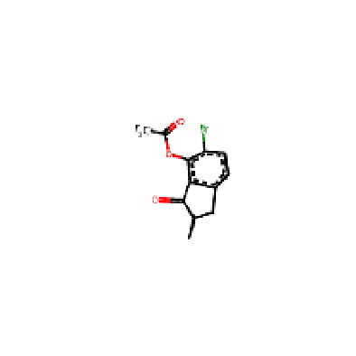 CC1Cc2ccc(Br)c(OC(=O)C(F)(F)F)c2C1=O